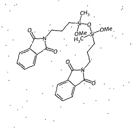 CO[Si](C)(CCCN1C(=O)c2ccccc2C1=O)O[Si](C)(CCCN1C(=O)c2ccccc2C1=O)OC